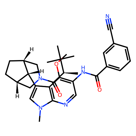 COc1c(NC(=O)c2cccc(C#N)c2)cnc2c1c([C@H]1[C@@H]3CC[C@H]1CN(C(=O)[C@H](C)C(C)(C)C)C3)cn2C